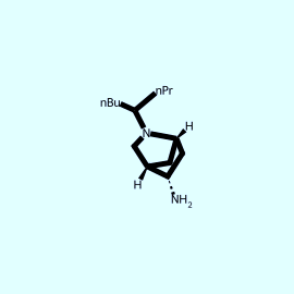 CCCCC(CCC)N1C[C@@H]2C[C@H]1C[C@@H]2N